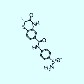 C[C@H]1Sc2ccc(C(=O)Nc3ccc([S+](N)[O-])cc3)cc2NC1=O